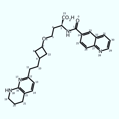 O=C(N[C@@H](CCOC1CC(CCc2ccc3c(n2)NCCC3)C1)C(=O)O)c1ccc2ncccc2c1